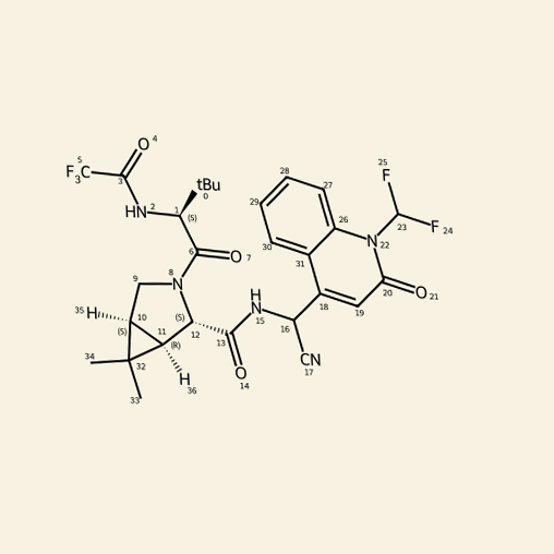 CC(C)(C)[C@H](NC(=O)C(F)(F)F)C(=O)N1C[C@H]2[C@@H]([C@H]1C(=O)NC(C#N)c1cc(=O)n(C(F)F)c3ccccc13)C2(C)C